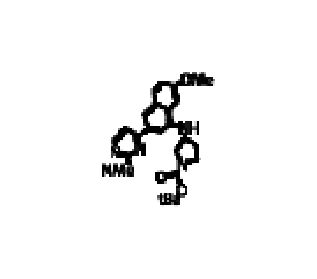 CNc1nccc(-c2cc(NC3CCN(C(=O)OC(C)(C)C)C3)c3cc(OC)ccc3c2)n1